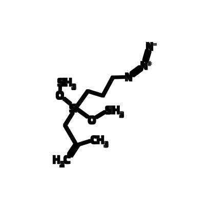 C=C(C)C[Si](CCCN=[N+]=[N-])(O[SiH3])O[SiH3]